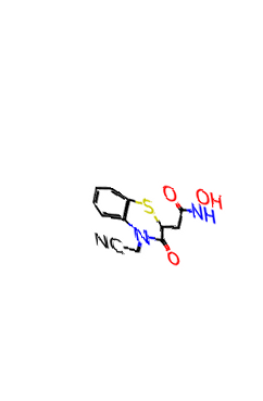 N#CCN1C(=O)C(CC(=O)NO)Sc2ccccc21